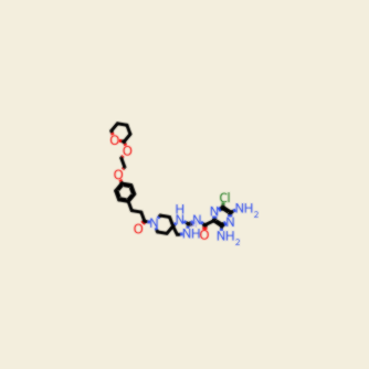 Nc1nc(N)c(C(=O)/N=C2\NCC3(CCN(C(=O)CCc4ccc(OCCOC5CCCCO5)cc4)CC3)N2)nc1Cl